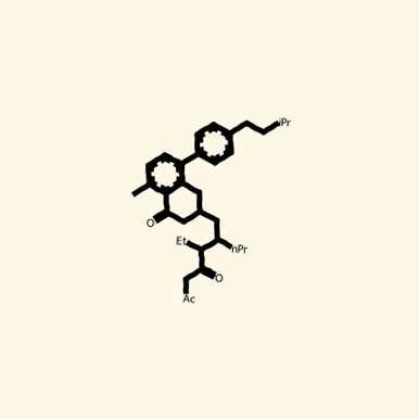 CCCC(CC1CC(=O)c2c(C)ccc(-c3ccc(CCC(C)C)cc3)c2C1)C(CC)C(=O)CC(C)=O